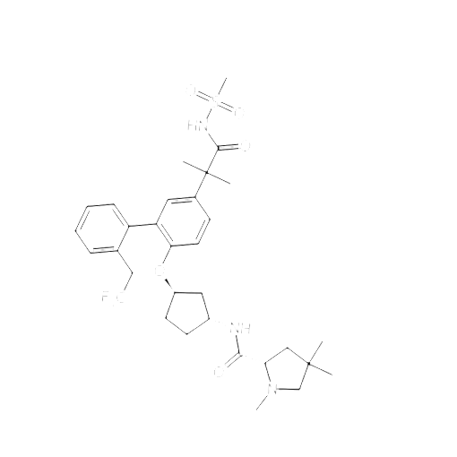 CN1CC(C)(C)C[C@H]1C(=O)N[C@@H]1CC[C@@H](Oc2ccc(C(C)(C)C(=O)NS(C)(=O)=O)cc2-c2ccccc2CC(F)(F)F)C1